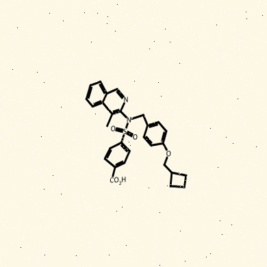 Cc1c(N(Cc2ccc(OCC3CCC3)cc2)S(=O)(=O)c2ccc(C(=O)O)cc2)ncc2ccccc12